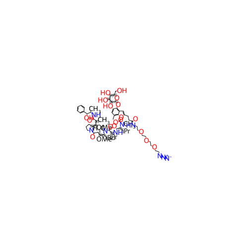 CCC(C)[C@@H]([C@@H](CC(=O)N1CCC[C@H]1[C@H](OC)[C@@H](C)C(=O)NC(C)C(O)c1ccccc1)OC)N(C)C(=O)[C@@H](NC(=O)[C@H](C(C)C)N(C)C(=O)OCc1ccc(O[C@@H]2O[C@H](CO)[C@H](O)[C@H](O)[C@H]2O)c2cc(CCC(=O)NCCOCCOCCOCCN=[N+]=[N-])oc12)C(C)C